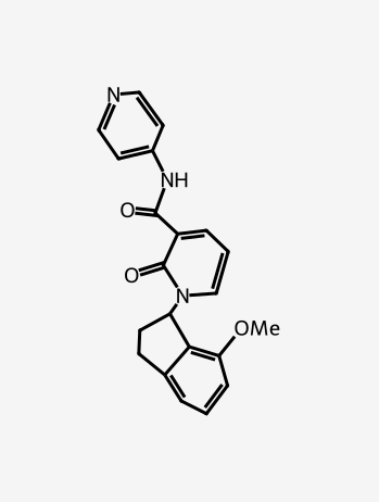 COc1cccc2c1C(n1cccc(C(=O)Nc3ccncc3)c1=O)CC2